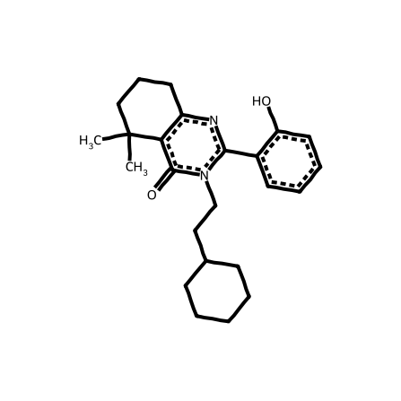 CC1(C)CCCc2nc(-c3ccccc3O)n(CCC3CCCCC3)c(=O)c21